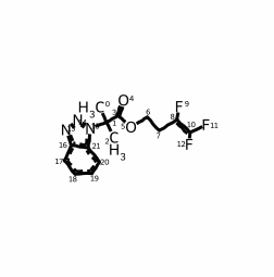 CC(C)(C(=O)OCCC(F)=C(F)F)n1nnc2ccccc21